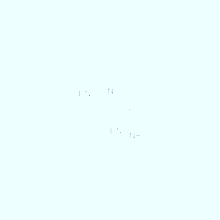 C=CC(C(=O)NN)c1ncc[nH]1